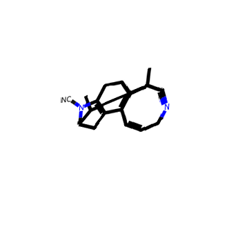 CC1C2CC3=C(CCC4=C3/C=C\C/N=C\C41C)N2C#N